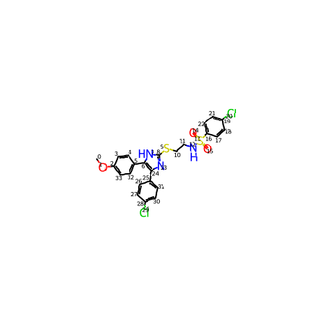 COc1ccc(-c2[nH]c(SCCNS(=O)(=O)c3ccc(Cl)cc3)nc2-c2ccc(Cl)cc2)cc1